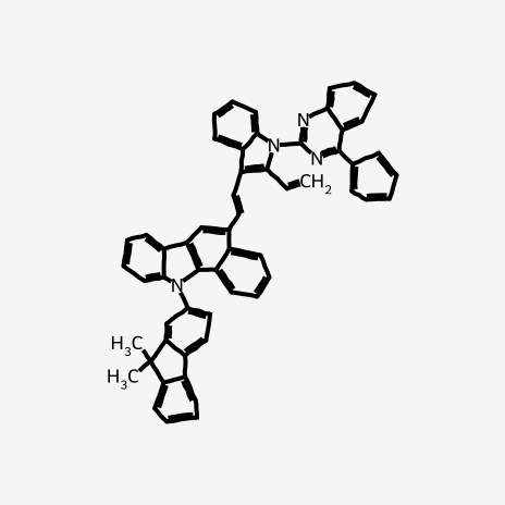 C=Cc1c(/C=C/c2cc3c4ccccc4n(-c4ccc5c(c4)C(C)(C)c4ccccc4-5)c3c3ccccc23)c2ccccc2n1-c1nc(-c2ccccc2)c2ccccc2n1